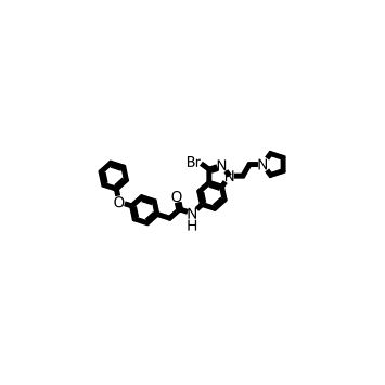 O=C(Cc1ccc(Oc2ccccc2)cc1)Nc1ccc2c(c1)c(Br)nn2CCN1CCCC1